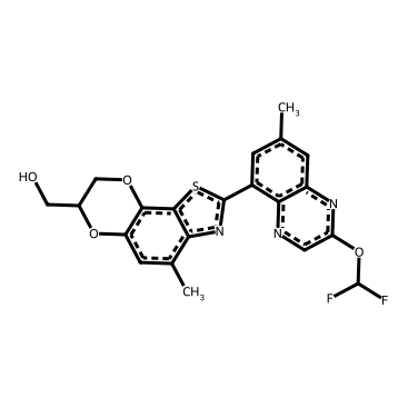 Cc1cc(-c2nc3c(C)cc4c(c3s2)OCC(CO)O4)c2ncc(OC(F)F)nc2c1